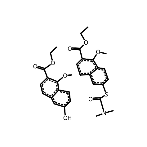 CCOC(=O)c1ccc2cc(O)ccc2c1OC.CCOC(=O)c1ccc2cc(SC(=O)N(C)C)ccc2c1OC